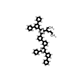 C=C/C(=C\C=C/C)c1nc(-c2cccc(-c3cccc(-c4cc(-c5cccc(-c6ccccc6)c5)nc(-c5ccccc5)n4)c3)c2)nc(-c2cc(-c3ccccc3)cc(-c3ccccc3)c2)n1